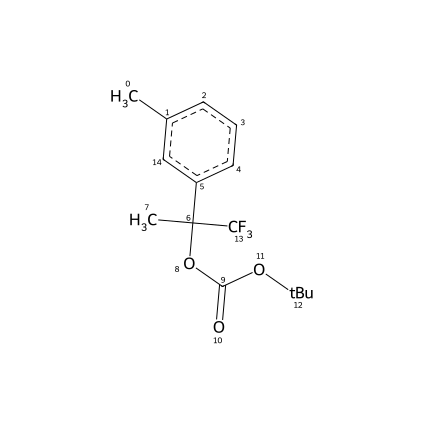 Cc1cccc(C(C)(OC(=O)OC(C)(C)C)C(F)(F)F)c1